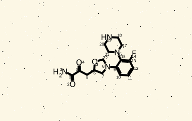 NC(=O)C(=O)CC1CN(c2cccc(F)c2N2CCNCC2)CO1